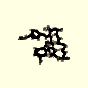 CCC(=O)O[C@@H](C[C@H](O)C[C@H](OCc1ccc(OC)cc1)/C(C)=C\[C@@H](CC)COCOCCOC)C(C)(C)c1cccc(Br)c1